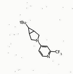 CC(C)(C)C1C2CN(c3ccnc(C(F)(F)F)c3)CC21